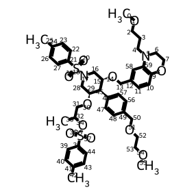 COCCCN1CCOc2ccc(CO[C@H]3CN(S(=O)(=O)c4ccc(C)cc4)C[C@@H](OCC(C)OS(=O)(=O)c4ccc(C)cc4)[C@@H]3c3ccc(COCCOC)cc3)cc21